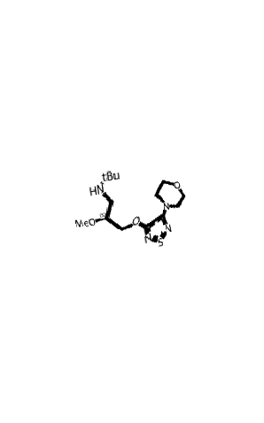 CO[C@@H](CNC(C)(C)C)COc1nsnc1N1CCOCC1